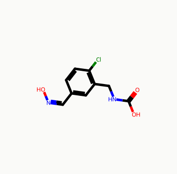 O=C(O)NCc1cc(/C=N\O)ccc1Cl